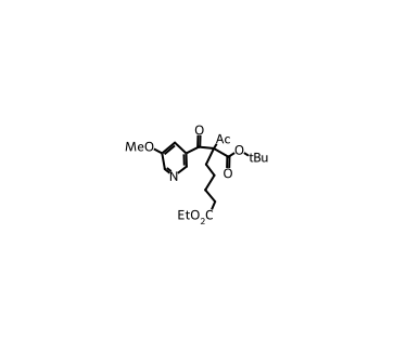 CCOC(=O)CCCCC(C(C)=O)(C(=O)OC(C)(C)C)C(=O)c1cncc(OC)c1